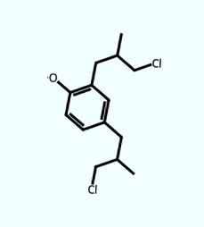 CC(CCl)Cc1ccc([O])c(CC(C)CCl)c1